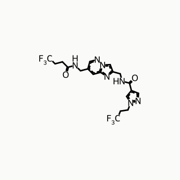 O=C(CCC(F)(F)F)NCc1cnn2cc(CNC(=O)c3cnn(CCC(F)(F)F)c3)nc2c1